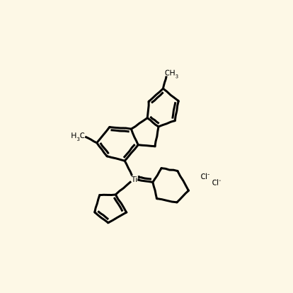 Cc1ccc2c(c1)-c1cc(C)c[c]([Ti+2]([C]3=CC=CC3)=[C]3CCCCC3)c1C2.[Cl-].[Cl-]